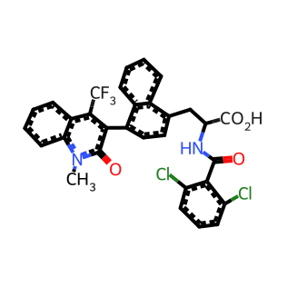 Cn1c(=O)c(-c2ccc(CC(NC(=O)c3c(Cl)cccc3Cl)C(=O)O)c3ccccc23)c(C(F)(F)F)c2ccccc21